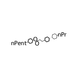 CCCCCc1ccc(OC(=O)CCc2ccc([C@H]3CC[C@H](CCC)CC3)cc2)cc1